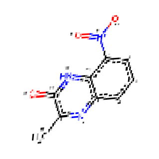 Cc1nc2cccc([N+](=O)[O-])c2[nH]c1=O